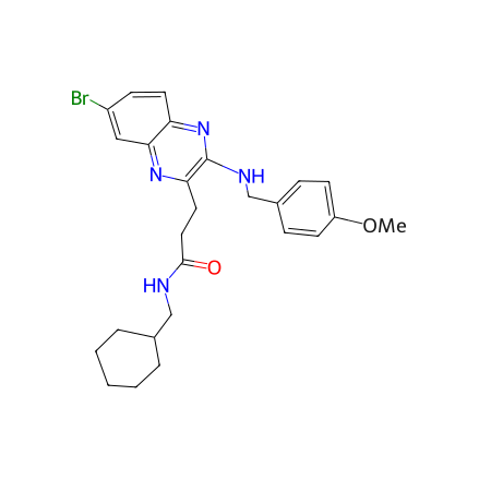 COc1ccc(CNc2nc3ccc(Br)cc3nc2CCC(=O)NCC2CCCCC2)cc1